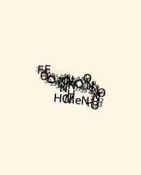 CNCC1CN(C(=O)N2CCN(C(=O)c3ccc(Nc4nccn5c(-c6ccc(OC(F)F)cc6)cnc45)cc3C)CC2)CCO1.Cl